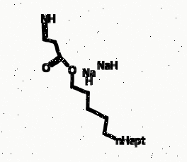 CCCCCCCCCCCCOC(=O)CC=N.[NaH].[NaH]